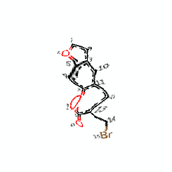 O=c1oc2cc3occc3cc2cc1CBr